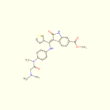 COC(=O)c1ccc2c(c1)NC(=O)C2=C(Nc1ccc(N(C)C(=O)CN(C)C)cc1)c1ccsc1